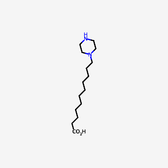 O=C(O)CCCCCCCCCCN1CCNCC1